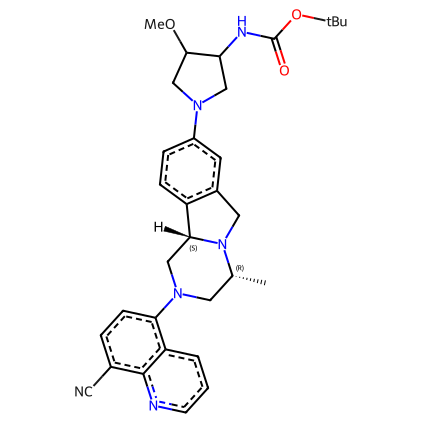 COC1CN(c2ccc3c(c2)CN2[C@H](C)CN(c4ccc(C#N)c5ncccc45)C[C@H]32)CC1NC(=O)OC(C)(C)C